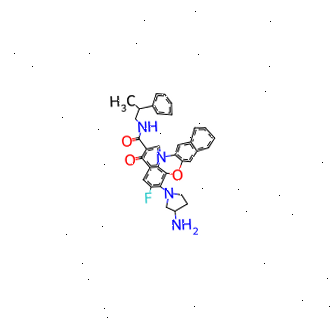 CC(CNC(=O)c1cn2c3c(c(N4CCC(N)C4)c(F)cc3c1=O)Oc1cc3ccccc3cc1-2)c1ccccc1